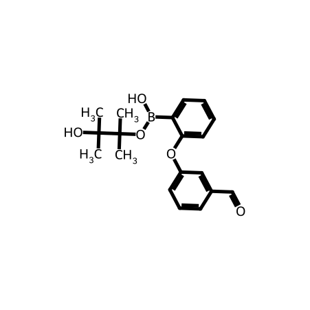 CC(C)(O)C(C)(C)OB(O)c1ccccc1Oc1cccc(C=O)c1